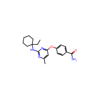 CCC1(Nc2nc(C)cc(Oc3ccc(C(N)=O)cc3)n2)CCCCC1